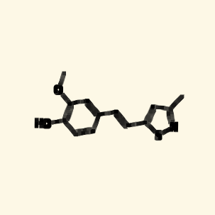 COc1cc(C=Cc2cc(C)ns2)ccc1O